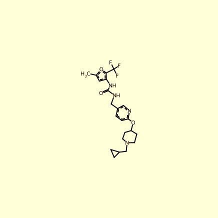 Cc1cc(NC(=O)NCc2ccc(OC3CCN(CC4CC4)CC3)nc2)c(C(F)(F)F)o1